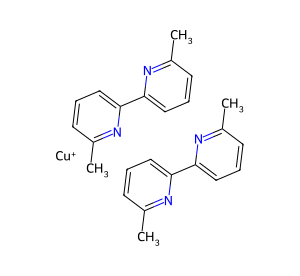 Cc1cccc(-c2cccc(C)n2)n1.Cc1cccc(-c2cccc(C)n2)n1.[Cu+]